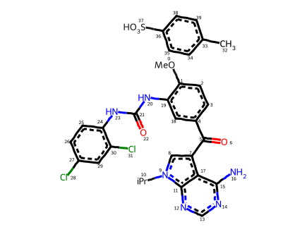 COc1ccc(C(=O)c2cn(C(C)C)c3ncnc(N)c23)cc1NC(=O)Nc1ccc(Cl)cc1Cl.Cc1ccc(S(=O)(=O)O)cc1